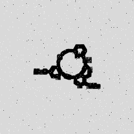 CNc1ncc2c3cc(ncc13)Nc1cccc(n1)CCOCc1cc(OC)cnc1C#C2